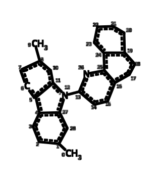 Cc1ccc2c3ccc(C)cc3n(-c3ccc4ccc5ccccc5c4n3)c2c1